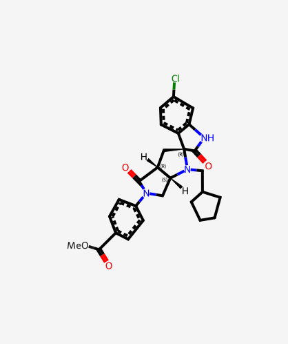 COC(=O)c1ccc(N2C[C@@H]3[C@@H](C[C@@]4(C(=O)Nc5cc(Cl)ccc54)N3CC3CCCC3)C2=O)cc1